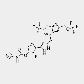 O=C(NC12CC(C1)C2)O[C@H]1CO[C@@H](c2cc(Nc3nc(C(F)(F)F)cc4nc(COC(F)(F)F)cn34)n[nH]2)[C@@H]1F